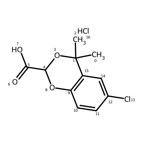 CC1(C)OC(C(=O)O)Oc2ccc(Cl)cc21.Cl